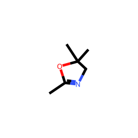 CC1=NCC(C)(C)O1